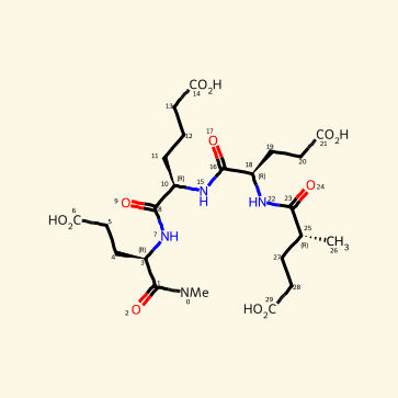 CNC(=O)[C@@H](CCC(=O)O)NC(=O)[C@@H](CCCC(=O)O)NC(=O)[C@@H](CCC(=O)O)NC(=O)[C@H](C)CCC(=O)O